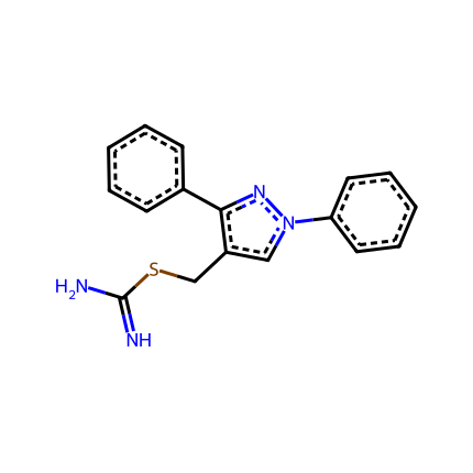 N=C(N)SCc1cn(-c2ccccc2)nc1-c1ccccc1